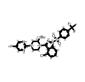 CC(F)(F)c1ccc(S(=O)(=O)n2nc(N3CCN(c4ncc(F)cn4)CC3C(C)(C)C)c3c(Cl)cccc32)cc1